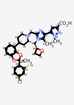 Cc1c(-c2cc(C(=O)O)nn2C)nc(CN2CCC(c3cccc4c3O[C@@](C)(c3ccc(Cl)cc3F)O4)CC2)n1C[C@@H]1CCO1